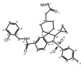 CNC(=O)CN1CCC2(CC1)c1cc(C(=O)NCc3ccccc3Cl)ccc1N(S(=O)(=O)c1ccc(F)cc1)C2C1CC1